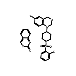 O=S(=O)(c1ccccc1Cl)N1CCC(N2COCc3cc(Br)ccc32)CC1.O=c1nc2ccccc2co1